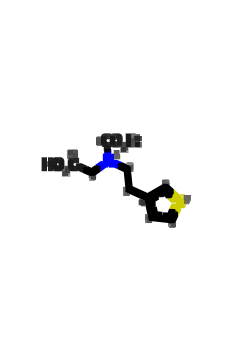 CCOC(=O)N(CCc1ccsc1)CC(=O)O